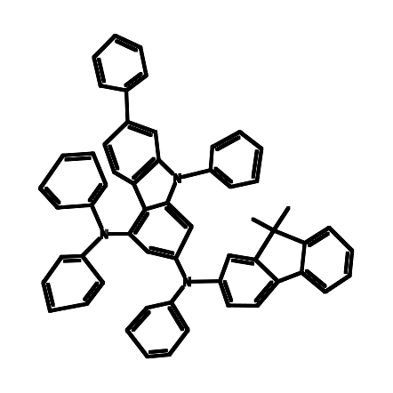 CC1(C)c2ccccc2-c2ccc(N(c3ccccc3)c3cc(N(c4ccccc4)c4ccccc4)c4c5ccc(-c6ccccc6)cc5n(-c5ccccc5)c4c3)cc21